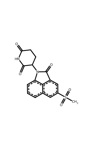 CS(=O)(=O)c1cc2c3c(cccc3c1)N(C1CCC(=O)NC1=O)C2=O